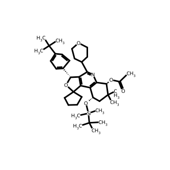 CC(=O)O[C@H]1c2nc(C3CCOCC3)c3c(c2[C@@H](O[Si](C)(C)C(C)(C)C)CC1(C)C)C1(CCCC1)O[C@@H]3c1ccc(C(C)(C)C)cc1